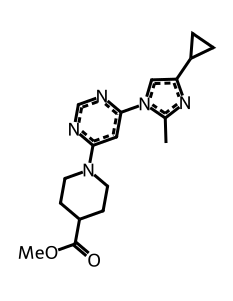 COC(=O)C1CCN(c2cc(-n3cc(C4CC4)nc3C)ncn2)CC1